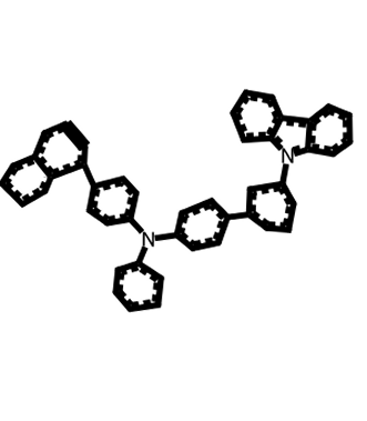 c1cc2ccccc2c(-c2ccc(N(c3ccccc3)c3ccc(-c4cccc(-n5c6ccccc6c6ccccc65)c4)cc3)cc2)c#1